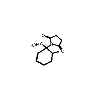 CC1CCCCC1([C]=O)N1C(=O)CCC1=O